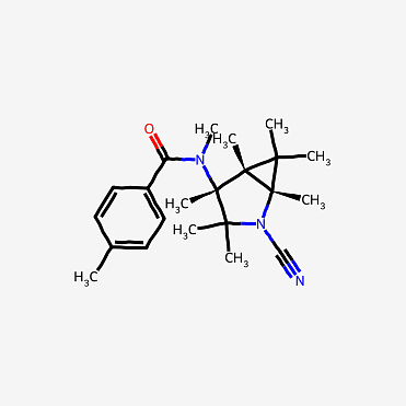 Cc1ccc(C(=O)N(C)[C@@]2(C)C(C)(C)N(C#N)[C@@]3(C)C(C)(C)[C@@]23C)cc1